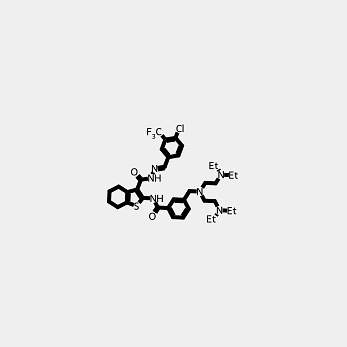 CCN(CC)CCN(CCN(CC)CC)Cc1cccc(C(=O)Nc2sc3c(c2C(=O)N/N=C/c2ccc(Cl)c(C(F)(F)F)c2)CCCC3)c1